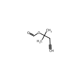 C#CCC(C)(C)O[C]=O